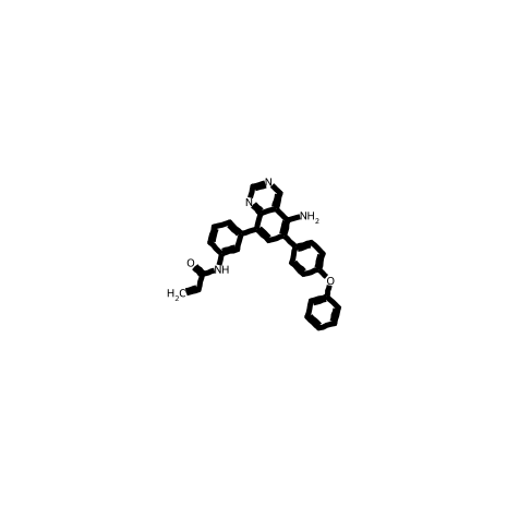 C=CC(=O)Nc1cccc(-c2cc(-c3ccc(Oc4ccccc4)cc3)c(N)c3cncnc23)c1